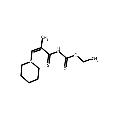 CCOC(=O)NC(=S)C(C)=CN1CCCCC1